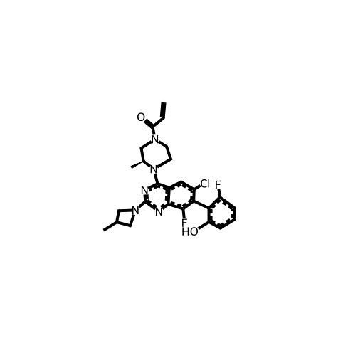 C=CC(=O)N1CCN(c2nc(N3CC(C)C3)nc3c(F)c(-c4c(O)cccc4F)c(Cl)cc23)[C@@H](C)C1